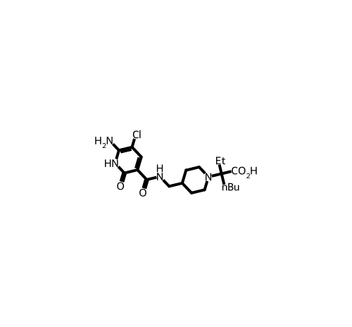 CCCCC(CC)(C(=O)O)N1CCC(CNC(=O)c2cc(Cl)c(N)[nH]c2=O)CC1